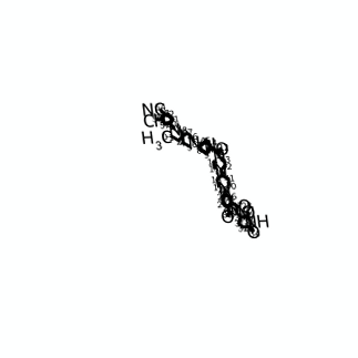 C[C@H]1CC2(CCN(c3ccc(C(=O)N4CCN(C5CCN(c6ccc7c(c6)C(=O)N(C6CCC(=O)NC6=O)C7=O)CC5)CC4)nc3)CC2)CN1c1ccc(C#N)c(Cl)c1